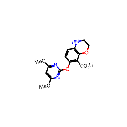 COc1cc(OC)nc(Oc2ccc3c(c2C(=O)O)OCCN3)n1